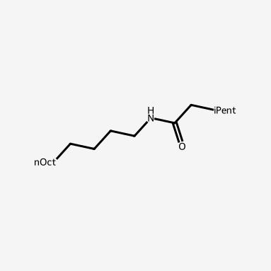 CCCCCCCCCCCCNC(=O)CC(C)CCC